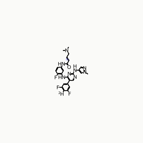 [2H]c1c(F)cc(-c2cnc(Nc3cnn(C)c3)nc2Nc2cc(NC(=O)/C=C/CN(C)C)ccc2F)cc1F